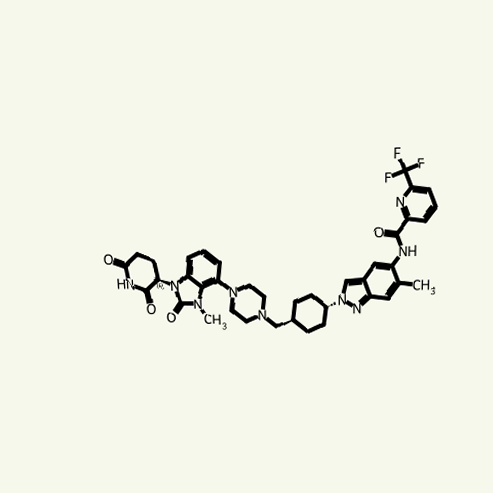 Cc1cc2nn([C@H]3CC[C@H](CN4CCN(c5cccc6c5n(C)c(=O)n6[C@@H]5CCC(=O)NC5=O)CC4)CC3)cc2cc1NC(=O)c1cccc(C(F)(F)F)n1